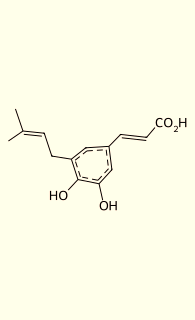 CC(C)=CCc1cc(C=CC(=O)O)cc(O)c1O